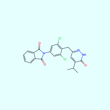 CC(C)c1cc(Cc2c(Cl)cc(N3C(=O)c4ccccc4C3=O)cc2Cl)n[nH]c1=O